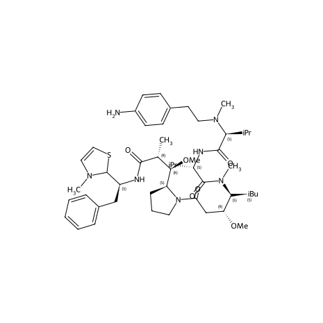 CC[C@H](C)[C@@H]([C@@H](CC(=O)N1CCC[C@H]1[C@H](OC)[C@@H](C)C(=O)N[C@@H](Cc1ccccc1)C1SC=CN1C)OC)N(C)C(=O)[C@@H](NC(=O)[C@H](C(C)C)N(C)CCc1ccc(N)cc1)C(C)C